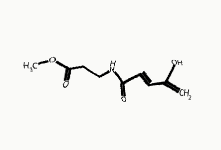 C=C(O)/C=C/C(=O)NCCC(=O)OC